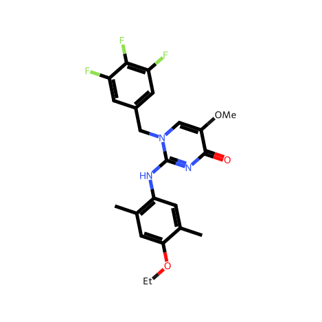 CCOc1cc(C)c(Nc2nc(=O)c(OC)cn2Cc2cc(F)c(F)c(F)c2)cc1C